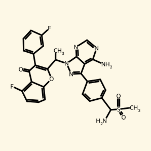 CC(c1oc2cccc(F)c2c(=O)c1-c1cccc(F)c1)n1nc(-c2ccc(C(N)S(C)(=O)=O)cc2)c2c(N)ncnc21